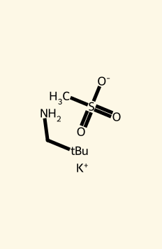 CC(C)(C)CN.CS(=O)(=O)[O-].[K+]